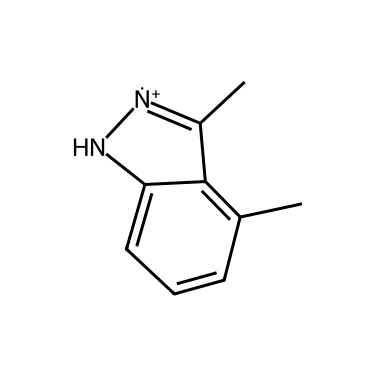 CC1=[N+]Nc2cccc(C)c21